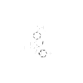 CN(C)C1(c2cccc(F)c2)C=Cc2cc(N)ccc2N1